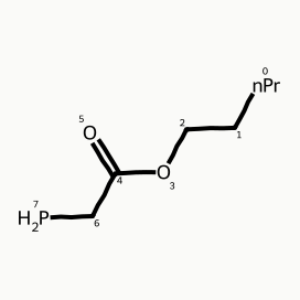 CCCCCOC(=O)CP